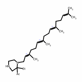 CCC1(C(C)=O)CNCCN1C/C=C(\C)CC/C=C(\C)CC/C=C(\C)CCC=C(C)C